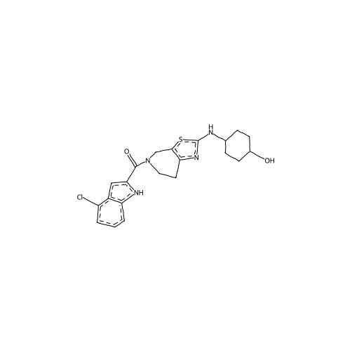 O=C(c1cc2c(Cl)cccc2[nH]1)N1CCc2nc(NC3CCC(O)CC3)sc2C1